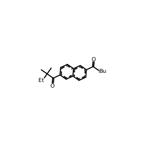 CCC(C)C(=O)c1ccc2cc(C(=O)C(C)(C)CC)ccc2c1